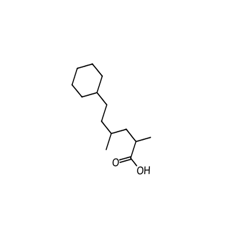 CC(CCC1CCCCC1)CC(C)C(=O)O